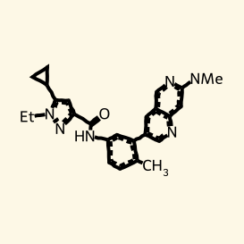 CCn1nc(C(=O)Nc2ccc(C)c(-c3cnc4cc(NC)ncc4c3)c2)cc1C1CC1